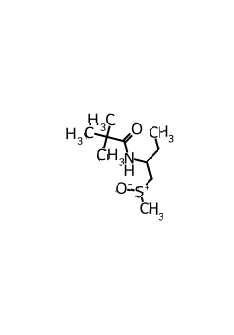 CCC(C[S+](C)[O-])NC(=O)C(C)(C)C